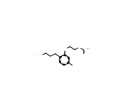 CCC(C)[C@H](NC[C@@H](C)Oc1cc(F)ccc1CCCNC)C(C)=O